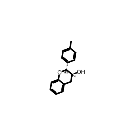 Cc1ccc([C@H]2Oc3ccccc3C[C@@H]2O)cc1